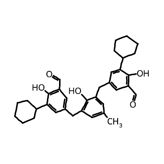 Cc1cc(Cc2cc(C=O)c(O)c(C3CCCCC3)c2)c(O)c(Cc2cc(C=O)c(O)c(C3CCCCC3)c2)c1